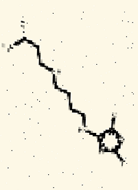 C[C@@H](N)CCNCCCCNc1nc(F)sc1Cl